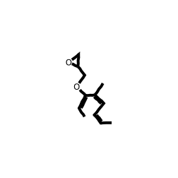 C\C=C/C=C(C)\C(=C/C)OCC1CO1